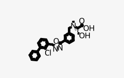 CN(Cc1cccc(-c2nnc(-c3cccc(-c4ccccc4)c3Cl)o2)c1)[C@@H](CO)C(=O)O